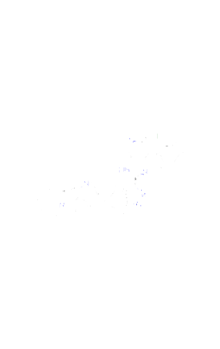 Fc1ccccc1-c1cncc2[nH]c(-c3n[nH]c4ccc(-c5cncc(CN6CCCCC6)c5)cc34)nc12